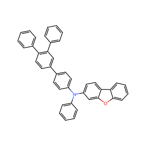 c1ccc(-c2ccc(-c3ccc(N(c4ccccc4)c4ccc5c(c4)oc4ccccc45)cc3)cc2-c2ccccc2)cc1